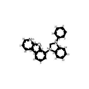 c1ccc(N2CN(c3cccc4c3oc3ncccc34)c3ccccc32)cc1